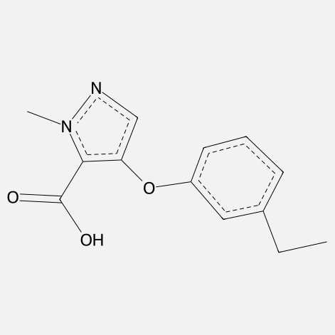 CCc1cccc(Oc2cnn(C)c2C(=O)O)c1